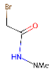 CNNC(=O)CBr